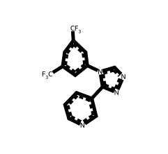 FC(F)(F)c1cc(-n2cnnc2-c2cccnc2)cc(C(F)(F)F)c1